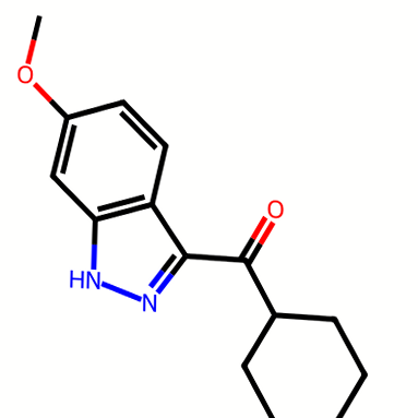 COc1ccc2c(C(=O)C3CCCCC3)n[nH]c2c1